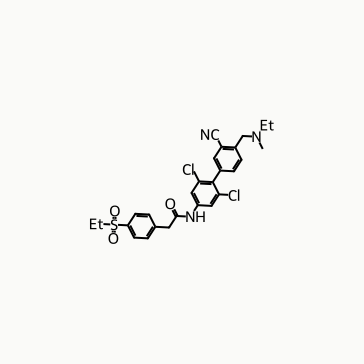 CCN(C)Cc1ccc(-c2c(Cl)cc(NC(=O)Cc3ccc(S(=O)(=O)CC)cc3)cc2Cl)cc1C#N